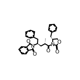 C[C@@H](C[C@H](Cc1ccccc1)N1C(=O)c2ccccc2C1=O)C(=O)N1C(=O)OC[C@H]1Cc1ccccc1